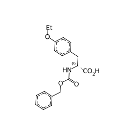 CCOc1ccc(C[C@@H](NC(=O)OCc2ccccc2)C(=O)O)cc1